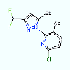 CCc1cc(C(F)F)nn1-c1nc(Cl)ccc1C(C)=O